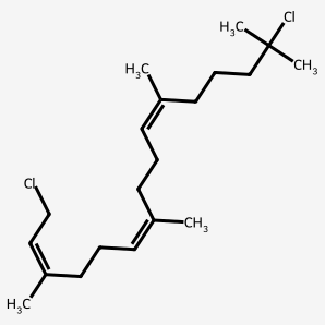 CC(=CCCl)CCC=C(C)CCC=C(C)CCCC(C)(C)Cl